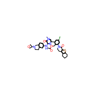 CC(=O)OCc1c(-c2cn(C)c(=O)c(Nc3ccc4c(c3)CCN(C3COC3)C4)n2)cc(F)cc1N1CCc2c(sc3c2CCCC3)C1=O